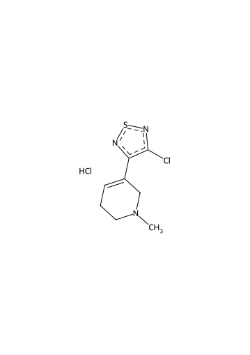 CN1CCC=C(c2nsnc2Cl)C1.Cl